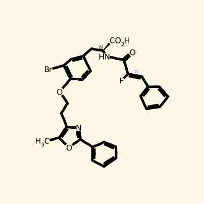 Cc1oc(-c2ccccc2)nc1CCOc1ccc(C[C@H](NC(=O)/C(F)=C/c2ccccc2)C(=O)O)cc1Br